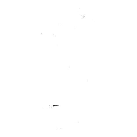 N[C@@H](CCC(=O)OC[C@@H](CO[N+](=O)[O-])O[N+](=O)[O-])C(=O)O